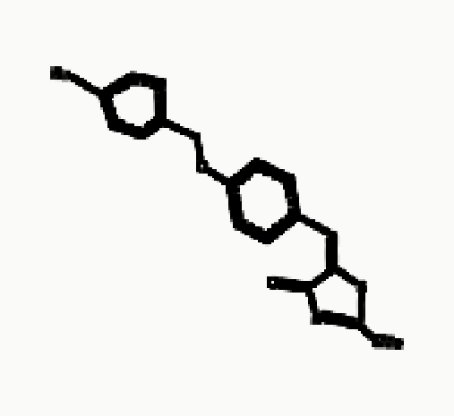 CCC(C)c1ccc(COc2ccc(C=C3SC(SC)=NC3=O)cc2)cc1